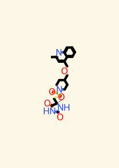 Cc1cc(COCC2CCN(S(=O)(=O)C[C@@]3(C)NC(=O)NC3=O)CC2)c2ccccc2n1